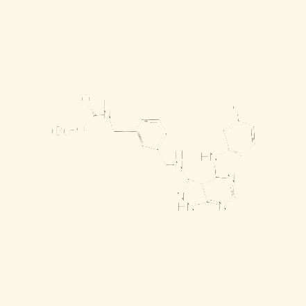 CC(C)(C)OC(=O)NCc1cccc(CNc2n[nH]c3ncnc(Nc4cccc(Cl)c4)c23)c1